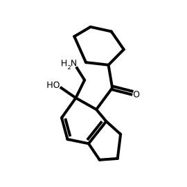 NCC1(O)C=CC2=C(CCC2)C1C(=O)C1CCCCC1